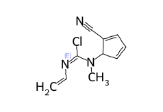 C=C/N=C(/Cl)N(C)C1C=CC=C1C#N